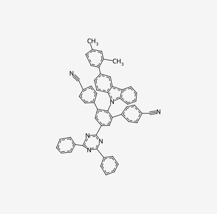 Cc1ccc(-c2ccc3c(c2)c2ccccc2n3-c2c(-c3ccc(C#N)cc3)cc(-c3nc(-c4ccccc4)nc(-c4ccccc4)n3)cc2-c2ccc(C#N)cc2)c(C)c1